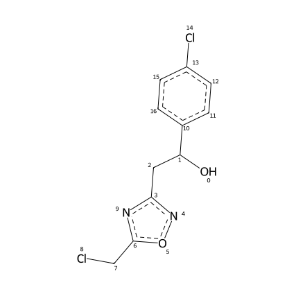 OC(Cc1noc(CCl)n1)c1ccc(Cl)cc1